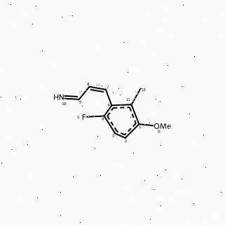 COc1ccc(F)c(/C=C\C=N)c1C